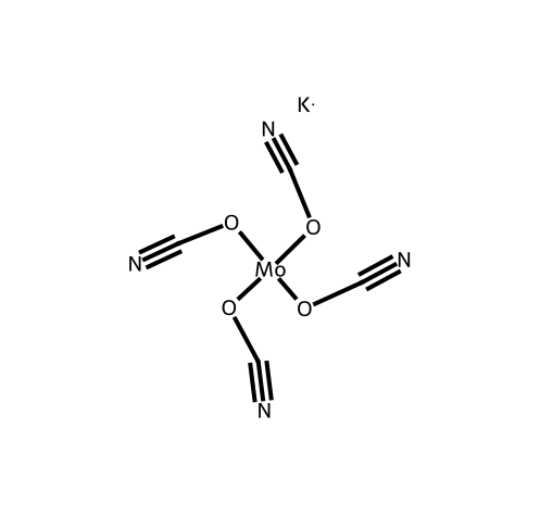 N#C[O][Mo]([O]C#N)([O]C#N)[O]C#N.[K]